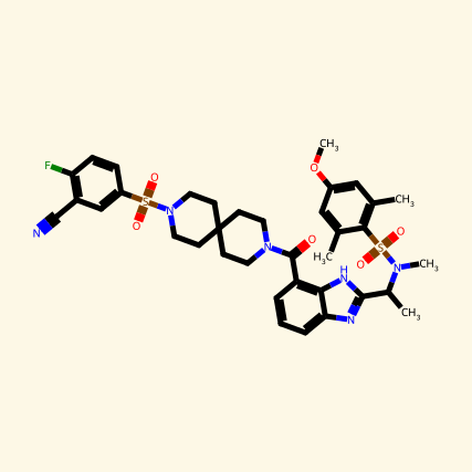 COc1cc(C)c(S(=O)(=O)N(C)C(C)c2nc3cccc(C(=O)N4CCC5(CC4)CCN(S(=O)(=O)c4ccc(F)c(C#N)c4)CC5)c3[nH]2)c(C)c1